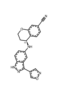 N#Cc1ccc2c(c1)OCC[C@@H]2Nc1ccc2[nH]nc(-c3cnoc3)c2c1